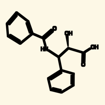 O=C(NC(c1ccccc1)[C@H](O)C(=O)O)c1ccccc1